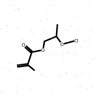 C=C(C)C(=O)OCC(C)OCl